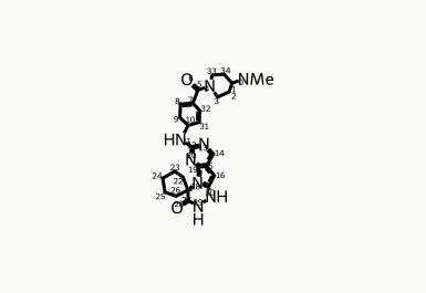 CNC1CCN(C(=O)C2=CCC(Nc3ncc4cc5n(c4n3)C3(CCCCC3)C(=O)NN5)C=C2)CC1